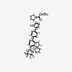 CC(C)(C)OC(=O)N1CCC[C@H]1c1ncc(-c2ccc(-c3ccc(B4OC(C)(C)C(C)(C)O4)c4c3CCC43CCCC3)cc2)[nH]1